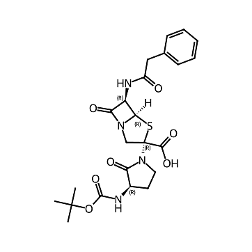 CC(C)(C)OC(=O)N[C@@H]1CCN([C@]2(C(=O)O)CN3C(=O)[C@@H](NC(=O)Cc4ccccc4)[C@H]3S2)C1=O